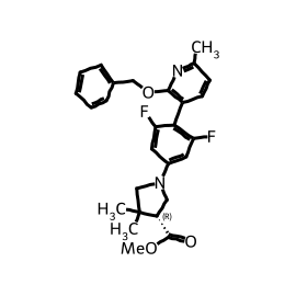 COC(=O)[C@H]1CN(c2cc(F)c(-c3ccc(C)nc3OCc3ccccc3)c(F)c2)CC1(C)C